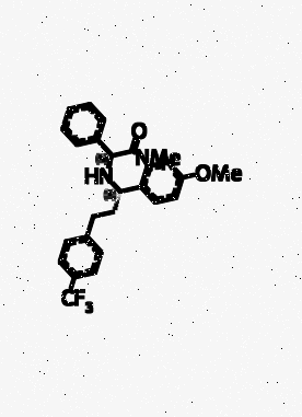 CNC(=O)[C@@H](N[C@@H](CCc1ccc(C(F)(F)F)cc1)c1ccc(OC)nc1)c1ccccc1